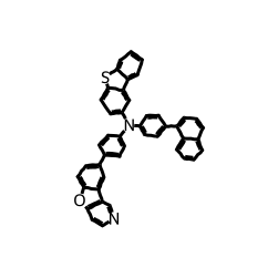 c1ccc2c(-c3ccc(N(c4ccc(-c5ccc6oc7ccncc7c6c5)cc4)c4ccc5sc6ccccc6c5c4)cc3)cccc2c1